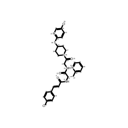 O=C(/C=C/c1ccc(Cl)cc1)N[C@@H](Cc1ccccn1)C(=O)NCC(=O)N1CCC(Sc2ccc(Cl)cn2)CC1